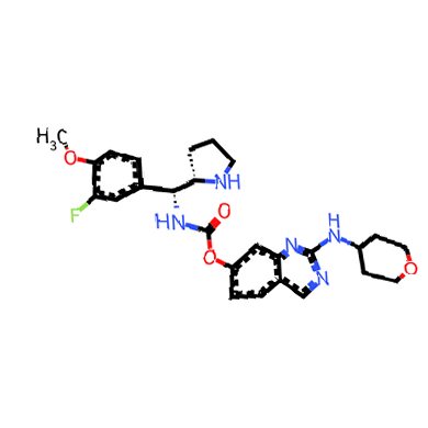 COc1ccc([C@@H](NC(=O)Oc2ccc3cnc(NC4CCOCC4)nc3c2)[C@@H]2CCCN2)cc1F